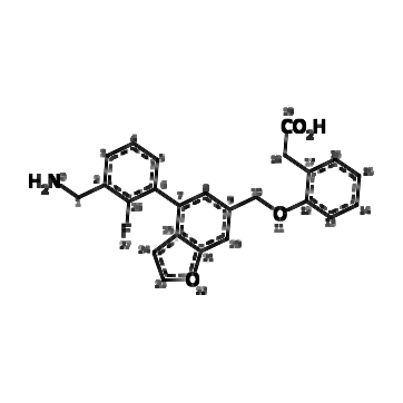 NCc1cccc(-c2cc(COc3ccccc3CC(=O)O)cc3occc23)c1F